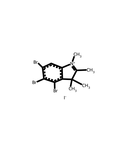 CC1=[N+](C)c2cc(Br)c(Br)c(Br)c2C1(C)C.[I-]